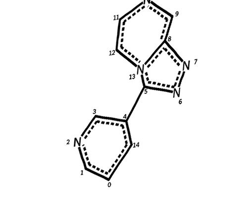 c1cncc(-c2nnc3cnccn23)c1